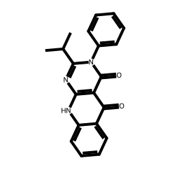 CC(C)c1nc2[nH]c3ccccc3c(=O)c2c(=O)n1-c1ccccc1